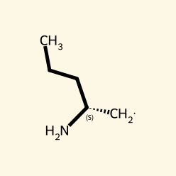 [CH2][C@H](N)CCC